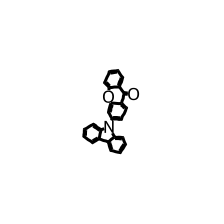 O=c1c2ccccc2oc2cc(-n3c4ccccc4c4ccccc43)ccc12